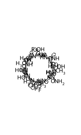 CCCC[C@H]1C(=O)N2C[C@@H](O)C[C@@H]2C(=O)N[C@@H](CC(=O)O)C(=O)N[C@@H](C(C)C)C(=O)N(C)[C@@H](Cc2ccc(F)cc2)C(=O)N[C@@H](CCC(=O)O)C(=O)N2CCC[C@@H]2C(=O)N[C@@H](Cc2c[nH]c3ccccc23)C(=O)N[C@@H](Cc2ccc(O)cc2)C(=O)N[C@@H](CC(C)C)C(=O)N[C@H](C(=O)NCC(N)=O)CSCC(=O)N[C@@H](Cc2cc(F)c(F)c(F)c2)C(=O)N(C)[C@@H](CCc2ccccc2)C(=O)N1C